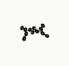 c1ccc(-c2ccc3c(c2)c2cc(-c4ccccc4)ccc2n3-c2cccc(-c3ncccc3-c3cccnc3-c3cccc(-n4c5ccc(-c6ccccc6)cc5c5cc(-c6ccccc6)ccc54)c3)c2)cc1